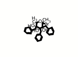 C[C@@H]1OC(C)(Br)[C@](O)(Cc2ccccc2)[C@@](O)(Cc2ccccc2)[C@@]1(O)Cc1ccccc1